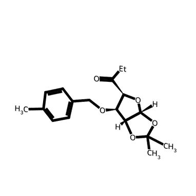 CCC(=O)[C@H]1O[C@@H]2OC(C)(C)O[C@@H]2[C@H]1OCc1ccc(C)cc1